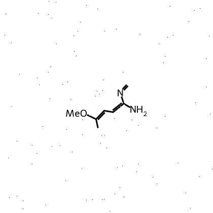 C=N/C(N)=C\C=C(/C)OC